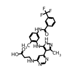 Cc1ccc(NC(=O)c2cccc(C(F)(F)F)c2)cc1Nc1[nH]nc(C)c1-c1cc(NCCC(=O)O)ncn1